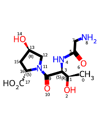 C[C@@H](O)[C@H](NC(=O)CN)C(=O)N1C[C@H](O)C[C@H]1C(=O)O